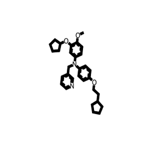 COc1ccc(N(Cc2cccnc2)c2ccc(OCCC3CCCC3)cc2)cc1OC1CCCC1